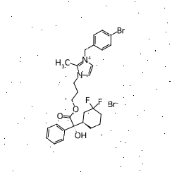 Cc1n(CCCOC(=O)[C@](O)(c2ccccc2)[C@@H]2CCCC(F)(F)C2)cc[n+]1Cc1ccc(Br)cc1.[Br-]